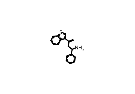 C=C(CC(N)c1ccccc1)c1csc2ccccc12